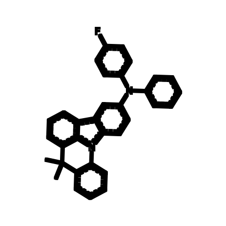 CC1(C)c2ccccc2-n2c3ccc(N(c4ccccc4)c4ccc(F)cc4)cc3c3cccc1c32